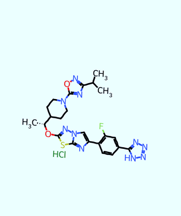 CC(C)c1noc(N2CCC([C@@H](C)Oc3nn4cc(-c5ccc(-c6nnn[nH]6)cc5F)nc4s3)CC2)n1.Cl